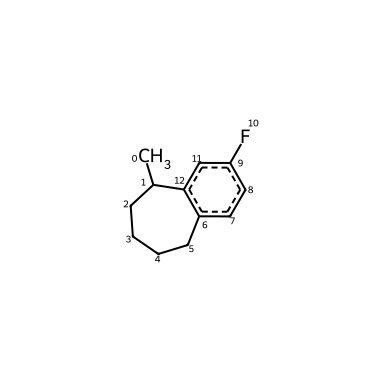 CC1CCCCc2ccc(F)cc21